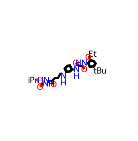 CCOc1ccc(C(C)(C)C)cc1NC(=O)C(=O)Nc1cccc(NCCCC(=O)NNC(=O)OC(C)C)c1